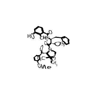 COc1cccc(C(=O)[C@H]2N(C(=O)[C@@H](O)[C@H](Cc3ccccc3)NC(=O)c3cccc(O)c3C)CSC2(C)C)c1